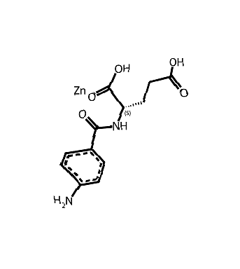 Nc1ccc(C(=O)N[C@@H](CCC(=O)O)C(=O)O)cc1.[Zn]